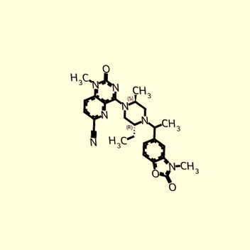 CC[C@@H]1CN(c2nc(=O)n(C)c3ccc(C#N)nc23)[C@@H](C)CN1C(C)c1ccc2oc(=O)n(C)c2c1